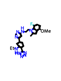 CCNc1cc(-c2cc(NCCn3c(C)cc4c(OC)ccc(F)c43)ncn2)ccc1-c1nnn[nH]1